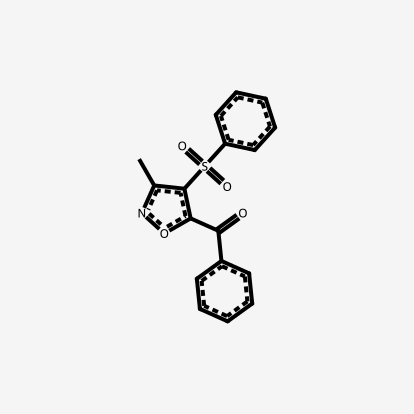 Cc1noc(C(=O)c2ccccc2)c1S(=O)(=O)c1ccccc1